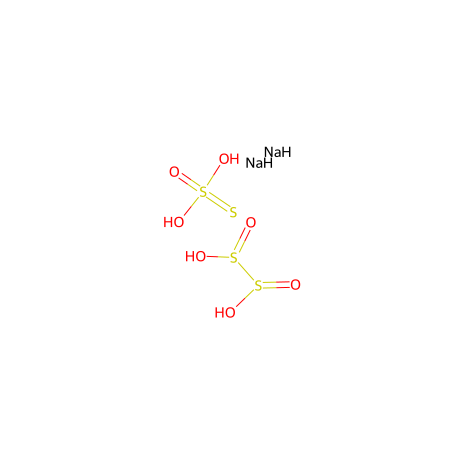 O=S(O)(O)=S.O=S(O)S(=O)O.[NaH].[NaH]